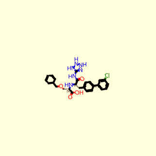 O=C(O)[C@H](COCc1ccccc1)N[C@@H](Cc1ccc(-c2cccc(Cl)c2)cc1)C(=O)NC1=NNNN1